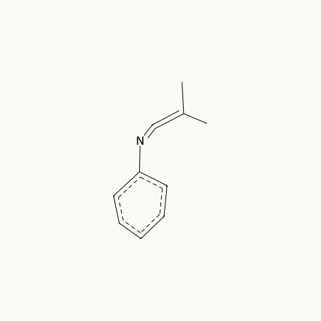 CC(C)=C=Nc1ccccc1